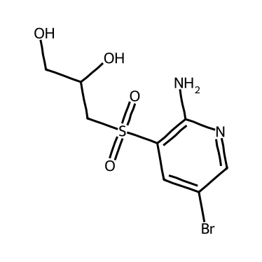 Nc1ncc(Br)cc1S(=O)(=O)CC(O)CO